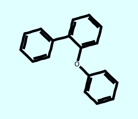 c1ccc(Oc2ccccc2-c2ccccc2)cc1